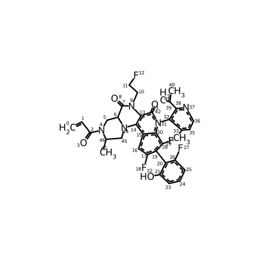 C=CC(=O)N1CC2C(=O)N(CCF)c3c(c4cc(F)c(-c5c(O)cccc5F)c(F)c4n(-c4c(C)ccnc4C(C)C)c3=O)N2CC1C